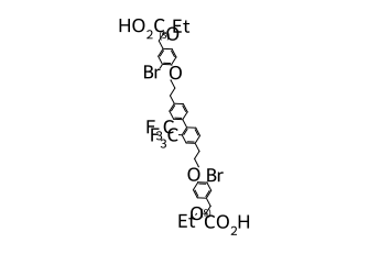 CCO[C@@H](Cc1ccc(OCCCc2ccc(-c3ccc(CCCOc4ccc(C[C@H](OCC)C(=O)O)cc4Br)cc3C(F)(F)F)c(C(F)(F)F)c2)c(Br)c1)C(=O)O